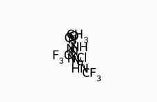 CS(=O)(=O)N1CCC(Nc2ncc(C(F)(F)F)c(-c3cn(-c4ccc(CNCC(F)(F)F)cc4Cl)cn3)n2)CC1